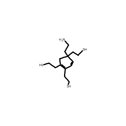 NCCC1(CCS)C=CC(CCS)=C(CCS)C1